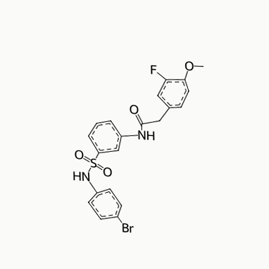 COc1ccc(CC(=O)Nc2cccc(S(=O)(=O)Nc3ccc(Br)cc3)c2)cc1F